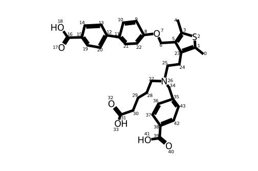 Cc1sc(C)c(COc2ccc(-c3ccc(C(=O)O)cc3)cc2)c1CCN(CCCCC(=O)O)Cc1ccc(C(=O)O)cc1